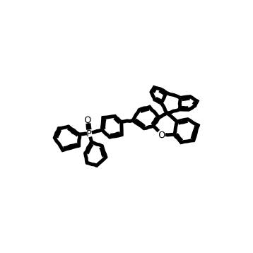 O=P(C1=CCCC=C1)(c1ccccc1)c1ccc(-c2ccc3c(c2)Oc2ccccc2C32c3ccccc3-c3ccccc32)cc1